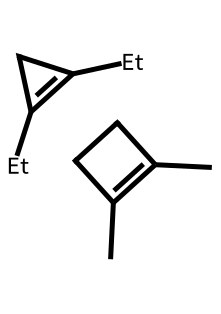 CC1=C(C)CC1.CCC1=C(CC)C1